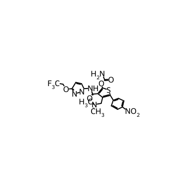 CN(C)Cc1c(-c2ccc([N+](=O)[O-])cc2)sc(OC(N)=O)c1C(=O)Nc1ccc(OCC(F)(F)F)nn1